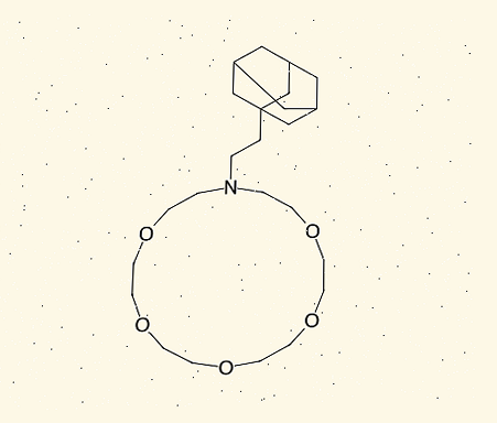 C1COCCOCCN(CCC23CC4CC(CC(C4)C2)C3)CCOCCOCCO1